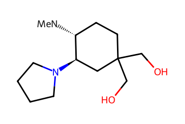 CN[C@@H]1CCC(CO)(CO)C[C@H]1N1CCCC1